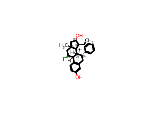 CC[C@H]1[C@H]2[C@H]3[C@@H](c4ccc(O)cc4C[C@H]3c3ccccc3)[C@@H](F)C[C@]2(C)C[C@H]1O